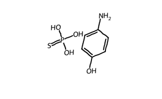 Nc1ccc(O)cc1.OP(O)(O)=S